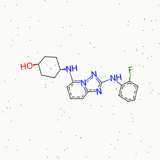 O[C@H]1CC[C@@H](Nc2cccc3nc(Nc4ccccc4F)nn23)CC1